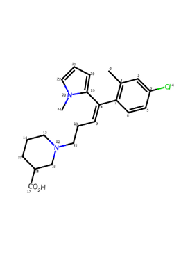 Cc1cc(Cl)ccc1C(=CCCN1CCCC(C(=O)O)C1)c1cccn1C